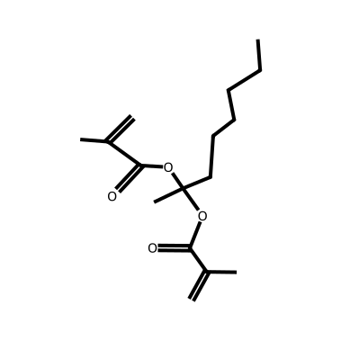 C=C(C)C(=O)OC(C)(CCCCCC)OC(=O)C(=C)C